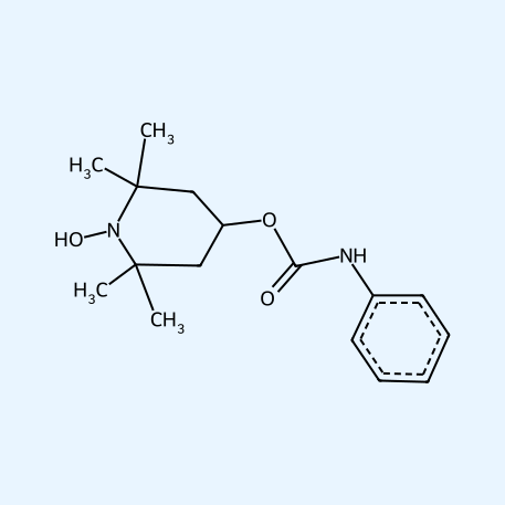 CC1(C)CC(OC(=O)Nc2ccccc2)CC(C)(C)N1O